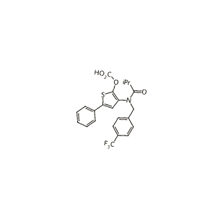 CC(C)C(=O)N(Cc1ccc(C(F)(F)F)cc1)c1cc(-c2ccccc2)sc1OC(=O)O